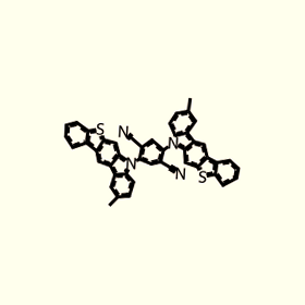 Cc1ccc2c(c1)c1cc3c(cc1n2-c1cc(C#N)c(-n2c4ccc(C)cc4c4cc5c(cc42)sc2ccccc25)cc1C#N)sc1ccccc13